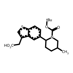 CC1CCC(c2ccc3scc(CC(=O)O)c3c2)N(C(=O)OC(C)(C)C)C1